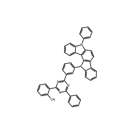 N#Cc1ccccc1-c1nc(-c2ccccc2)nc(-c2cccc(-n3c4ccccc4c4ccc5c(c6ccccc6n5-c5ccccc5)c43)c2)n1